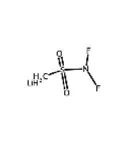 CS(=O)(=O)N(F)F.[LiH]